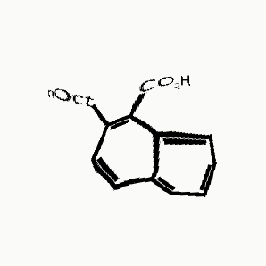 CCCCCCCCc1ccc2ccccc2c1C(=O)O